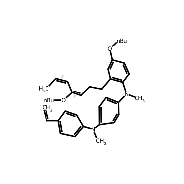 C=Cc1ccc(N(C)c2ccc(N(C)c3ccc(OCCCC)cc3CC/C=C(\C=C/C)OCCCC)cc2)cc1